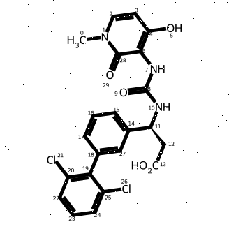 Cn1ccc(O)c(NC(=O)N[C@@H](CC(=O)O)c2cccc(-c3c(Cl)cccc3Cl)c2)c1=O